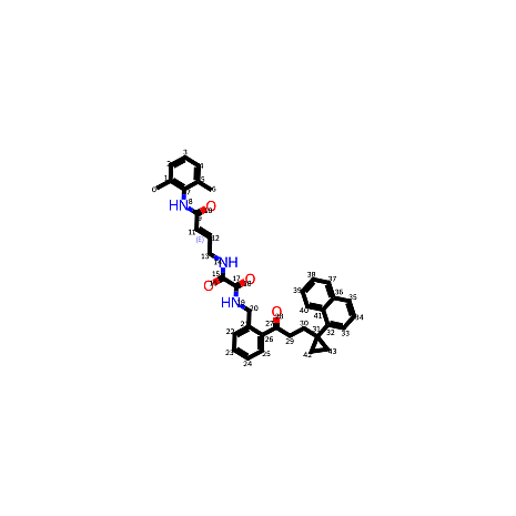 Cc1cccc(C)c1NC(=O)/C=C/CNC(=O)C(=O)NCc1ccccc1C(=O)CCC1(c2cccc3ccccc23)CC1